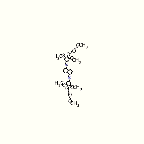 COCCOCCOc1c(OC)cc(/C=C/c2cccc3c(/C=C/c4cc(OC)c(OCCOCCOC)c(OC)c4)cccc23)cc1OC